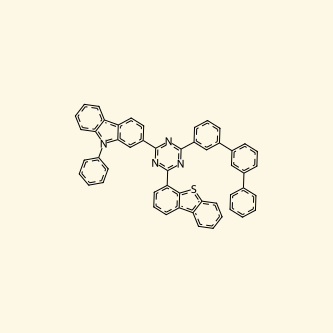 c1ccc(-c2cccc(-c3cccc(-c4nc(-c5ccc6c7ccccc7n(-c7ccccc7)c6c5)nc(-c5cccc6c5sc5ccccc56)n4)c3)c2)cc1